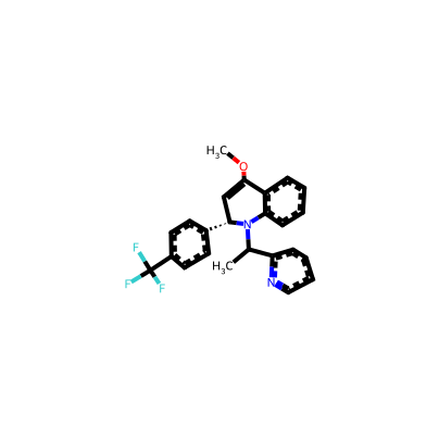 COC1=C[C@@H](c2ccc(C(F)(F)F)cc2)N(C(C)c2ccccn2)c2ccccc21